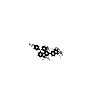 Cc1ccc(N(c2ccc(C)cc2)c2cccc3c2-c2ccc(-c4ccc5c(c4)C(C)(C)C(C)(C)C5(C)C)cc2C3(C)C)cc1